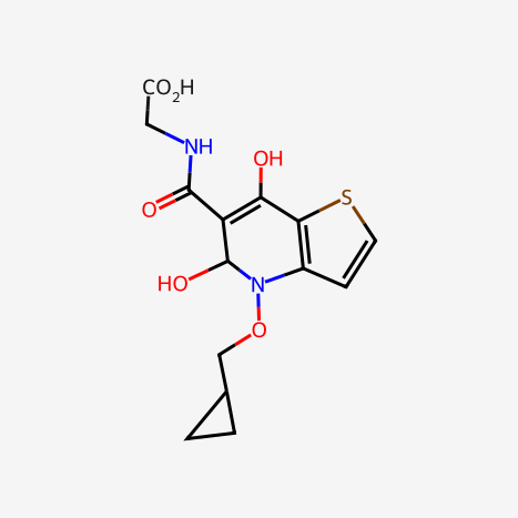 O=C(O)CNC(=O)C1=C(O)c2sccc2N(OCC2CC2)C1O